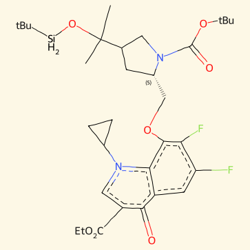 CCOC(=O)c1cn(C2CC2)c2c(OC[C@@H]3CC(C(C)(C)O[SiH2]C(C)(C)C)CN3C(=O)OC(C)(C)C)c(F)c(F)cc2c1=O